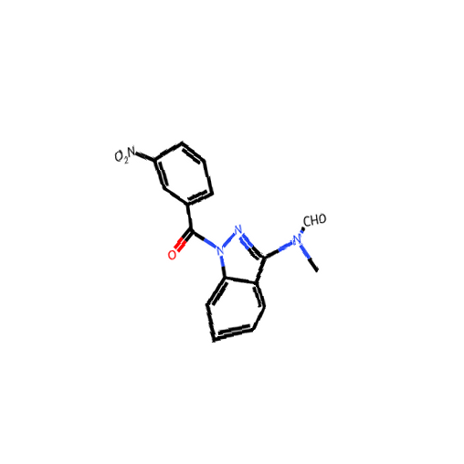 CN(C=O)c1nn(C(=O)c2cccc([N+](=O)[O-])c2)c2ccccc12